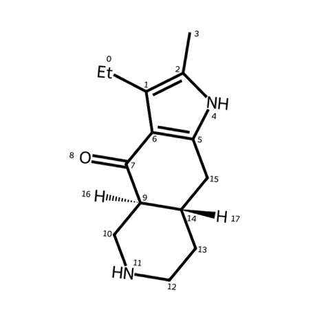 CCc1c(C)[nH]c2c1C(=O)[C@@H]1CNCC[C@H]1C2